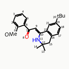 COc1ccccc1C(=O)C=C1NC(C)(C)Cc2ccc(C(C)(C)C)cc21